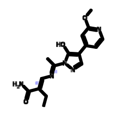 CC/C(=C\N=C(/C)n1ncc(-c2ccnc(OC)c2)c1O)C(N)=O